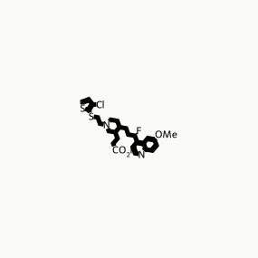 COc1ccc2nccc([C@@H](F)CCC3CCN(CCSc4sccc4Cl)CC3CCC(=O)O)c2c1